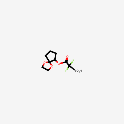 O=C(OC1CCCC12OCCO2)C(F)(F)S(=O)(=O)O